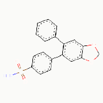 NS(=O)(=O)c1ccc(-c2cc3c(cc2-c2ccccc2)OCO3)cc1